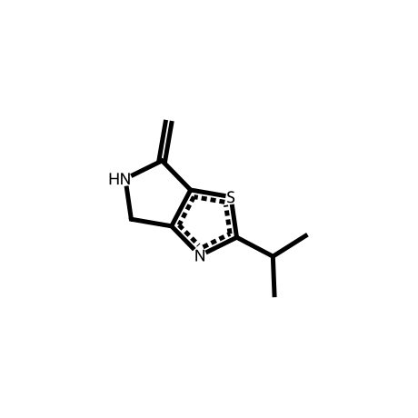 C=C1NCc2nc(C(C)C)sc21